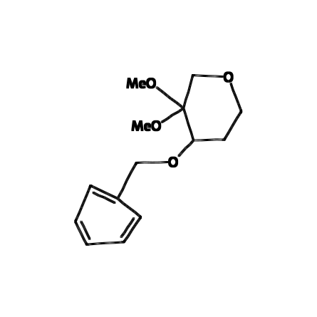 COC1(OC)COCCC1OCc1ccccc1